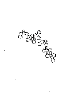 CC1(C)c2ccccc2-c2cc(-c3cc4oc5ccc(N6c7ccccc7B7c8ccccc8N(c8cccc9c8sc8ccccc89)c8cccc6c87)cc5c4c4ccccc34)cc(N3c4ccccc4B4c5ccccc5N(c5ccc6oc7ccc8ccccc8c7c6c5)c5cccc3c54)c21